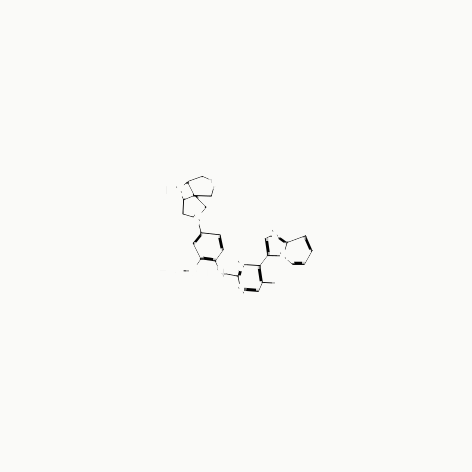 COc1cc(N2CC3NC4COCC43C2)ccc1Nc1ncc(Cl)c(-c2cnc3ccccn23)n1